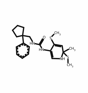 CSC1=CC(C)(SC)NC=C1NC(=O)NCC1(c2ccccc2)CCCC1